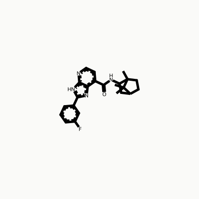 CC1(C)C2CCC1(C)C(NC(=O)c1ccnc3[nH]c(-c4cccc(F)c4)nc13)C2